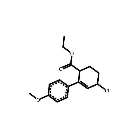 CCOC(=O)C1CCC(Cl)C=C1c1ccc(OC)cc1